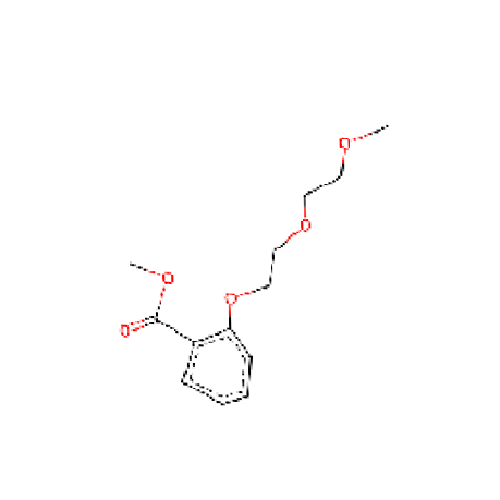 COCCOCCOc1ccccc1C(=O)OC